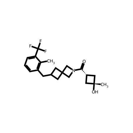 Cc1c(CC2CC3(C2)CN(C(=O)[C@H]2C[C@@](C)(O)C2)C3)cccc1C(F)(F)F